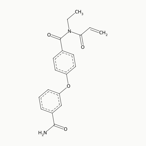 C=CC(=O)N(CC)C(=O)c1ccc(Oc2cccc(C(N)=O)c2)cc1